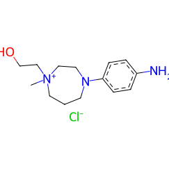 C[N+]1(CCO)CCCN(c2ccc(N)cc2)CC1.[Cl-]